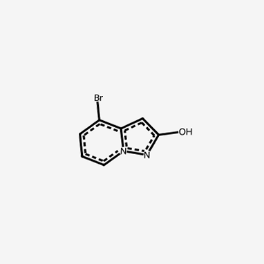 Oc1cc2c(Br)cccn2n1